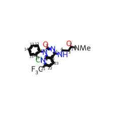 CNC(=O)CCNc1nc(=O)n(-c2ccccc2Cl)c2nc(C(F)(F)F)ccc12